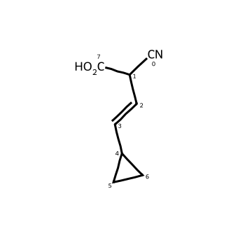 N#CC(C=CC1CC1)C(=O)O